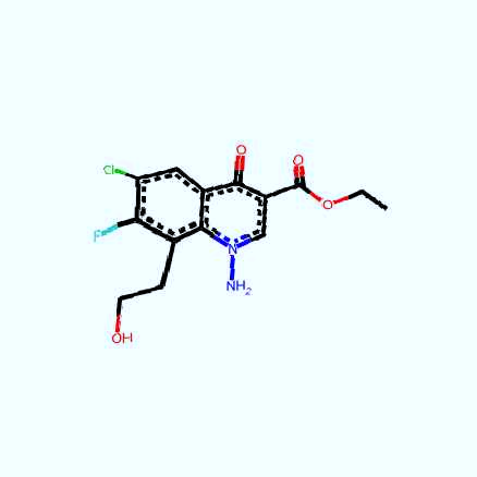 CCOC(=O)c1cn(N)c2c(CCO)c(F)c(Cl)cc2c1=O